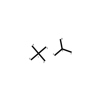 CC(C)(C)C.CC(C)C